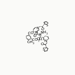 Cc1ccc(C(=O)O)cc1C(=O)O.NN(C(=O)C1=CN(CC(=O)c2cccs2)C=CC1)C(=O)C1=CN(CC(=O)c2cccs2)C=CC1